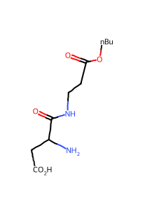 CCCCOC(=O)CCNC(=O)C(N)CC(=O)O